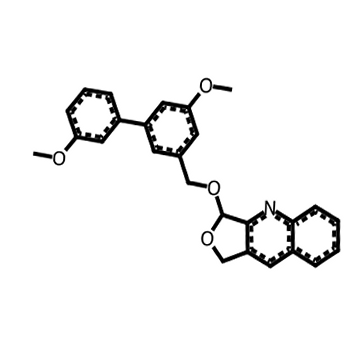 COc1cccc(-c2cc(COC3OCc4cc5ccccc5nc43)cc(OC)c2)c1